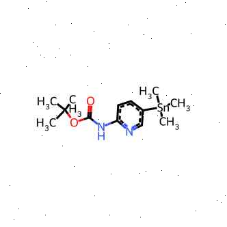 CC(C)(C)OC(=O)Nc1cc[c]([Sn]([CH3])([CH3])[CH3])cn1